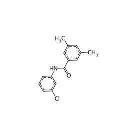 Cc1cc(C)cc(C(=O)Nc2cccc(Cl)c2)c1